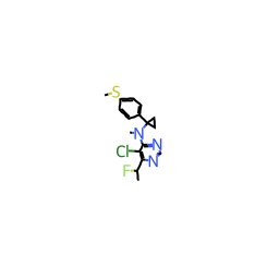 CSc1ccc(C2(N(C)c3ncnc(C(C)F)c3Cl)CC2)cc1